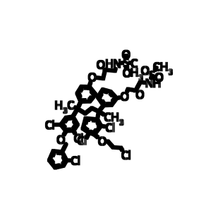 CC(CCC(C)(c1cccc(OCC(=O)CNS(C)(=O)=O)c1)c1ccc(Cl)c(OCCCCl)c1Cl)(c1ccc(OCC(=O)CNS(C)(=O)=O)cc1)c1cc(Cl)c(OCc2ccccc2Cl)c(Cl)c1